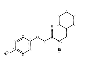 CCN(CC1CCCCC1)C(=O)COc1ccc(C)cc1